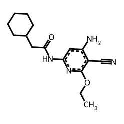 CCOc1nc(NC(=O)CC2CCCCC2)cc(N)c1C#N